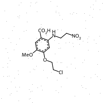 COc1cc(C(=O)O)c(NCC[N+](=O)[O-])cc1OCCCl